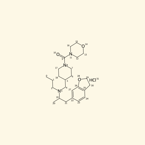 CCCN(CC1CCN(C(=O)N2CCOCC2)CC1)C(C)Cc1ccc2c(c1)OCC2.Cl